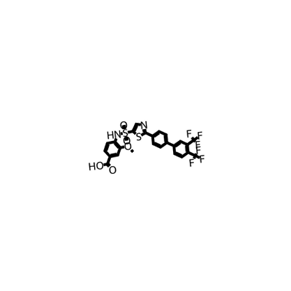 COc1cc(C(=O)O)ccc1NS(=O)(=O)c1cnc(-c2ccc(-c3ccc(C(F)(F)F)c(C(F)(F)F)c3)cc2)s1